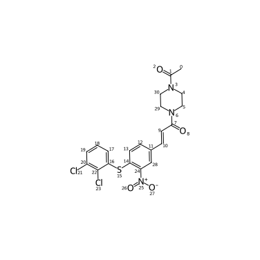 CC(=O)N1CCN(C(=O)C=Cc2ccc(Sc3cccc(Cl)c3Cl)c([N+](=O)[O-])c2)CC1